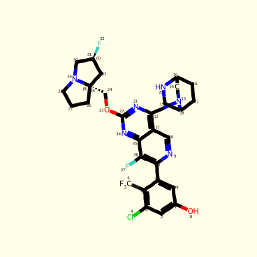 Oc1cc(Cl)c(C(F)(F)F)c(-c2ncc3c(N4CC5CCC4CN5)nc(OC[C@]45CCCN4C[C@@H](F)C5)nc3c2F)c1